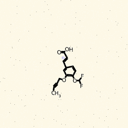 CC#CCOc1cc(/C=C/C(=O)O)ccc1OC(F)F